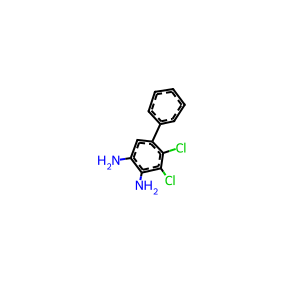 Nc1cc(-c2ccccc2)c(Cl)c(Cl)c1N